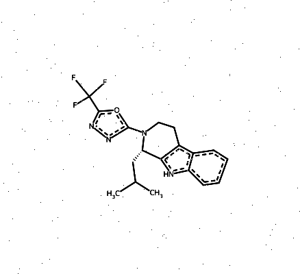 CC(C)C[C@H]1c2[nH]c3ccccc3c2CCN1c1nnc(C(F)(F)F)o1